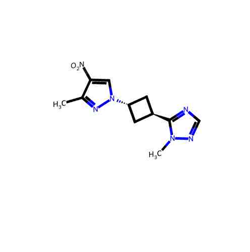 Cc1nn([C@H]2C[C@H](c3ncnn3C)C2)cc1[N+](=O)[O-]